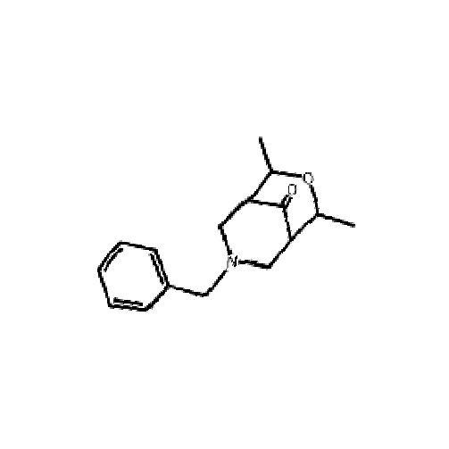 CC1OC(C)C2CN(Cc3ccccc3)CC1C2=O